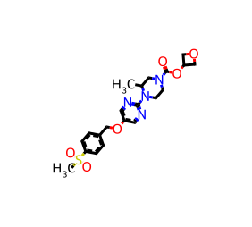 CC1CN(C(=O)OC2COC2)CCN1c1ncc(OCc2ccc(S(C)(=O)=O)cc2)cn1